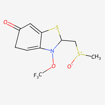 C[S+]([O-])CC1SC2=CC(=O)CC=C2N1OC(F)(F)F